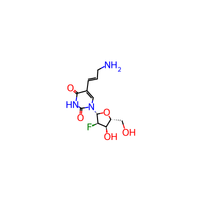 NC/C=C/c1cn([C@@H]2O[C@H](CO)[C@@H](O)[C@H]2F)c(=O)[nH]c1=O